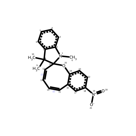 CN1c2ccccc2C(C)(C)C12/C=C\C=C/c1cc([N+](=O)[O-])ccc1O2